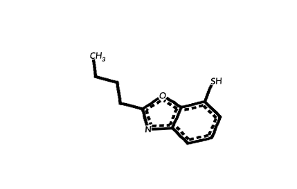 CCCCc1nc2cccc(S)c2o1